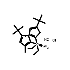 C[CH2][Zr](=[SiH2])([CH2]C)([C]1=C(C)C=C(C(C)(C)C)C1)[C]1=C(C)C=C(C(C)(C)C)C1.Cl.Cl